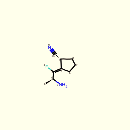 C[C@H](N)/C(F)=C1\CCC[C@H]1C#N